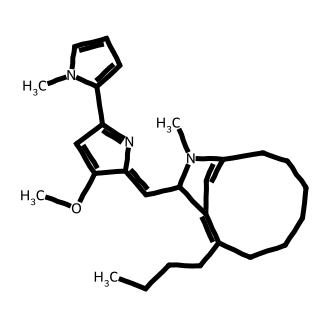 CCCC/C1=C2/C=C(CCCCCC1)N(C)C2C=C1N=C(c2cccn2C)C=C1OC